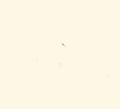 CN(Cc1ccc2c(c1)C[C@H](CO[Si](C)(C)C(C)(C)C)[C@H]2NC(=O)C(=O)Nc1ccc(Cl)c(F)c1)C(=O)O